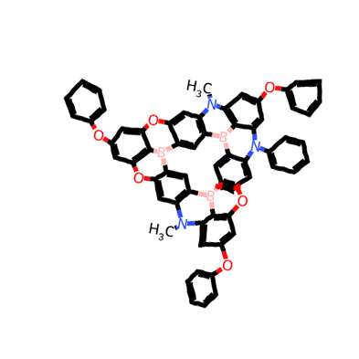 CN1c2cc3c(cc2B2c4ccccc4Oc4cc(Oc5ccccc5)cc1c42)B1c2cc4c(cc2Oc2cc(Oc5ccccc5)cc(c21)O3)N(C)c1cc(Oc2ccccc2)cc2c1B4c1ccccc1N2c1ccccc1